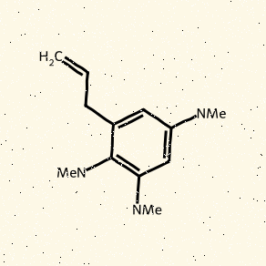 C=CCc1cc(NC)cc(NC)c1NC